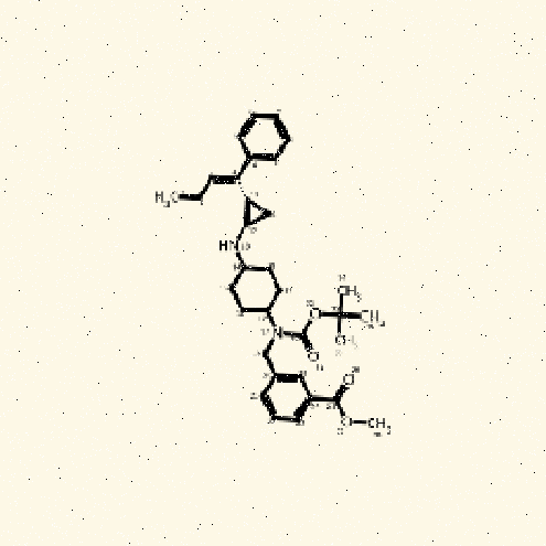 CCC=C(c1ccccc1)[C@@H]1C[C@H]1NC1CCC(N(Cc2cccc(C(=O)OC)c2)C(=O)OC(C)(C)C)CC1